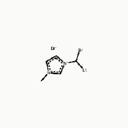 CCC(Br)[n+]1ccn(C)c1.[Br-]